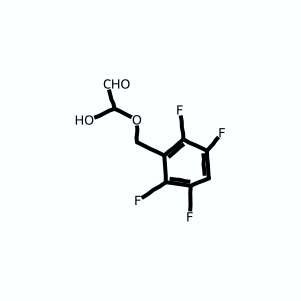 O=CC(O)OCc1c(F)c(F)cc(F)c1F